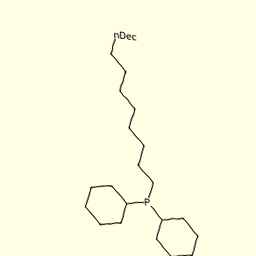 CCCCCCCCCCCCCCCCCCP(C1CCCCC1)C1CCCCC1